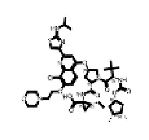 CC[C@@H]1C[C@]1(NC(=O)[C@@H]1C[C@@H](Oc2cc(-c3csc(NC(C)C)n3)nc3c(Cl)c(OCCN4CCOCC4)ccc23)CN1C(=O)[C@@H](NC(=O)O[C@H]1C[C@@H](C)[C@@H](C)C1)C(C)(C)C)C(=O)O